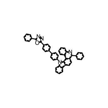 c1ccc(-c2nnc(-c3ccc(-c4ccc(-n5c6ccccc6c6ccc7c(-c8ccccc8)nc8ccccc8c7c65)cc4)cc3)o2)cc1